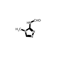 Cn1cnnc1N[C]=O